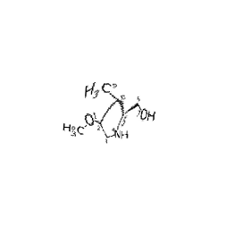 COC1CN[C@H](CO)C1C